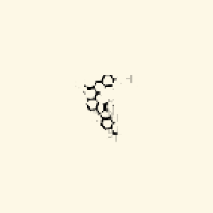 Cc1ccc(Cc2c(Cl)nc3ccc(C(O)(c4ccc(C(F)(F)F)cc4)c4cncn4C)cc3c2Cl)cc1